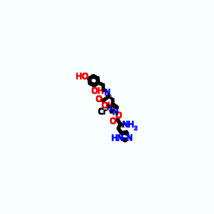 N[C@@H](Cc1cnc[nH]1)C(=O)On1cnc(C[C@H](N=CCc2ccc(O)cc2O)C(=O)O)c1.[Cr]